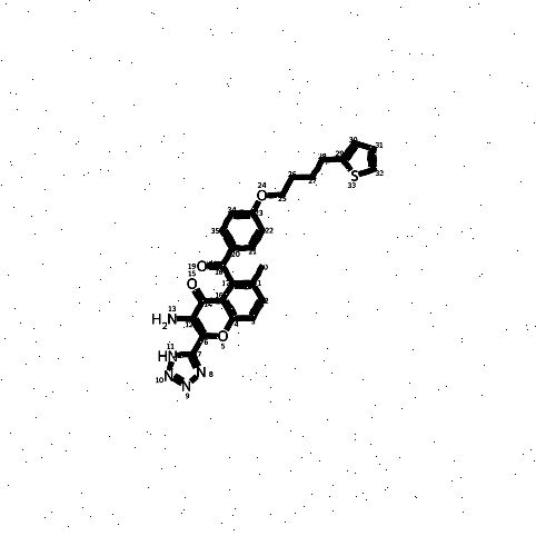 Cc1ccc2oc(-c3nnn[nH]3)c(N)c(=O)c2c1C(=O)c1ccc(OCCCCc2cccs2)cc1